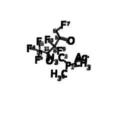 CP(C)C.O=C(CF)C(F)(F)C(=O)C(F)(F)F.[Ag]